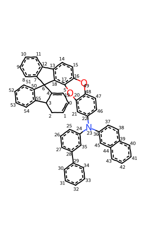 C1=CCC2C(=C1)C1(c3ccccc3-c3ccc4c(c31)Oc1cc(N(c3cccc(-c5ccccc5)c3)c3ccc5ccccc5c3)ccc1O4)c1ccccc12